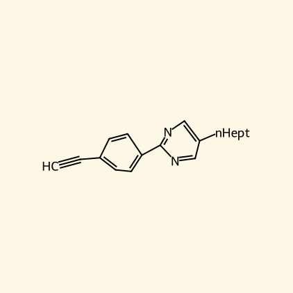 C#Cc1ccc(-c2ncc(CCCCCCC)cn2)cc1